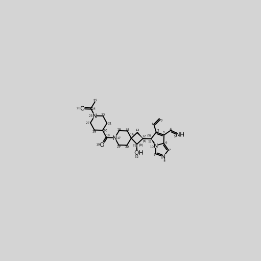 C=CC1=C(C=N)c2cncn2[C@H]1[C@@H]1CC2(CCN(C(=O)C3CCN(C(C)=O)CC3)CC2)[C@@H]1O